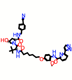 COc1cc(OCCCCCCC(=O)N[C@H](C(=O)N2C[C@H](O)C[C@H]2C(=O)NCc2ccc(C#N)cc2)C(C)(C)C)ccc1NC(=O)c1cccc(-c2ccn[nH]2)n1